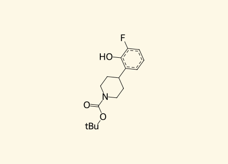 CC(C)(C)OC(=O)N1CCC(c2cccc(F)c2O)CC1